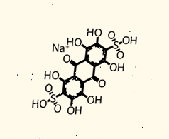 O=C1c2c(O)c(O)c(S(=O)(=O)O)c(O)c2C(=O)c2c(O)c(O)c(S(=O)(=O)O)c(O)c21.[Na+]